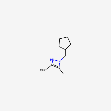 Cc1c(C=O)[nH]n1CC1CCCC1